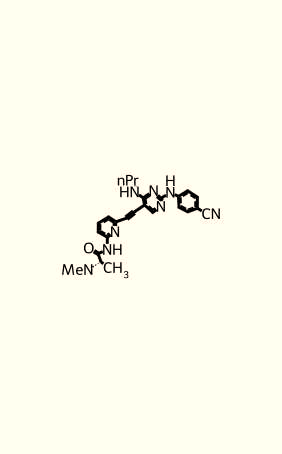 CCCNc1nc(Nc2ccc(C#N)cc2)ncc1C#Cc1cccc(NC(=O)[C@H](C)NC)n1